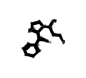 CCCN(CCCl)N1C=CNC1C(=O)c1ccccc1